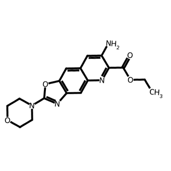 CCOC(=O)c1nc2cc3nc(N4CCOCC4)oc3cc2cc1N